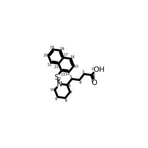 O=C(O)CCCC1CCCCN1Sc1cccc2ccccc12